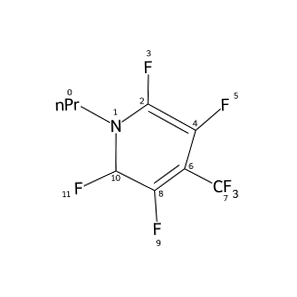 CCCN1C(F)=C(F)C(C(F)(F)F)=C(F)C1F